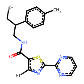 CCc1nc(-c2ncccn2)sc1C(=O)NCC(CC(C)C)c1ccc(C)cc1